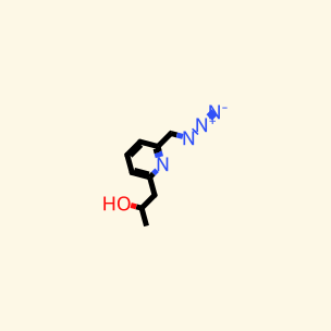 CC(O)Cc1cccc(CN=[N+]=[N-])n1